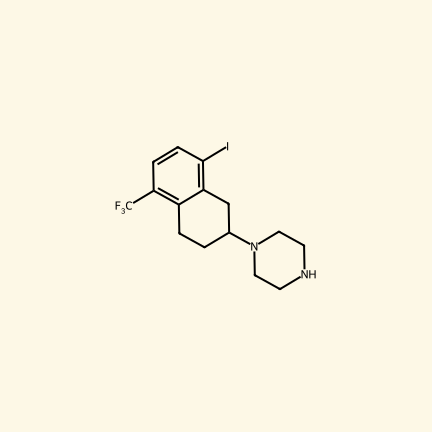 FC(F)(F)c1ccc(I)c2c1CCC(N1CCNCC1)C2